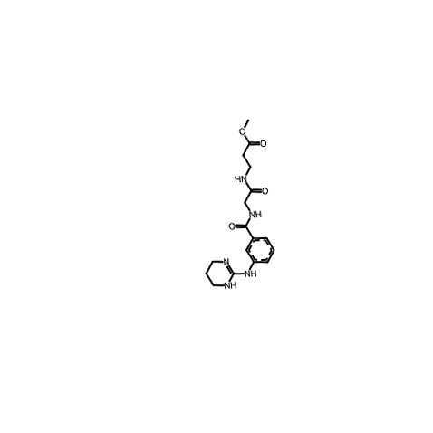 COC(=O)CCNC(=O)CNC(=O)c1cccc(NC2=NCCCN2)c1